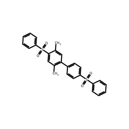 Cc1cc(S(=O)(=O)c2ccccc2)c(C)cc1-c1ccc(S(=O)(=O)c2ccccc2)cc1